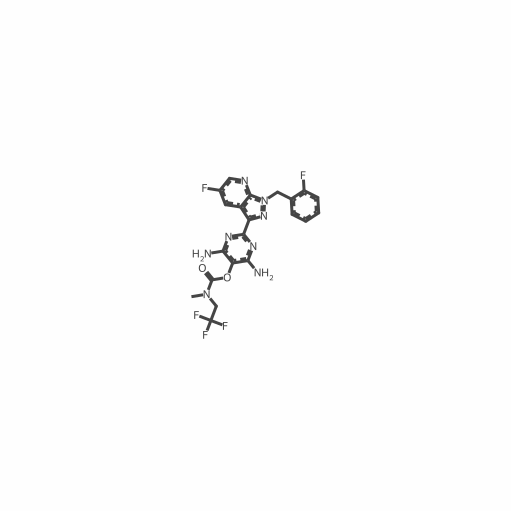 CN(CC(F)(F)F)C(=O)Oc1c(N)nc(-c2nn(Cc3ccccc3F)c3ncc(F)cc23)nc1N